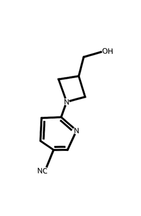 N#Cc1ccc(N2CC(CO)C2)nc1